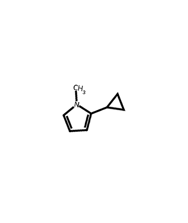 Cn1cccc1C1CC1